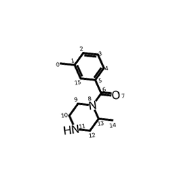 Cc1cccc(C(=O)N2CCNCC2C)c1